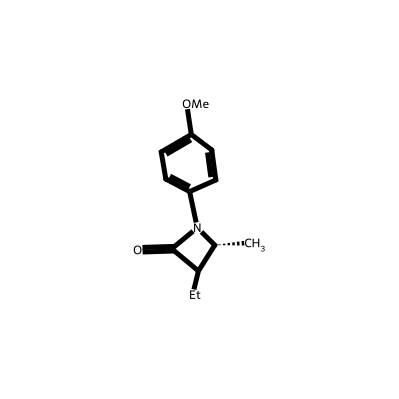 CCC1C(=O)N(c2ccc(OC)cc2)[C@@H]1C